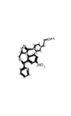 O=[N+]([O-])c1cc(Cl)c2c(c1)C(c1ccccn1)=NCc1nnc(N3CCN(CCO)CC3)n1-2